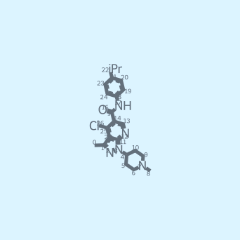 Cc1nn(C2CCN(C)CC2)c2ncc(C(=O)Nc3ccc(C(C)C)cc3)c(Cl)c12